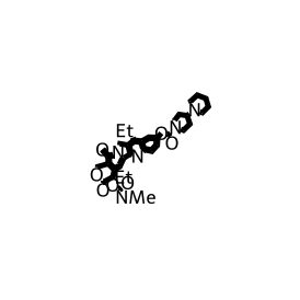 CCc1c2c(nc3ccc(OC(=O)N4CCC(N5CCCCC5)CC4)cc13)-c1cc3c(c(=O)n1C2)COC(=O)C3(CC)OC(=O)NC